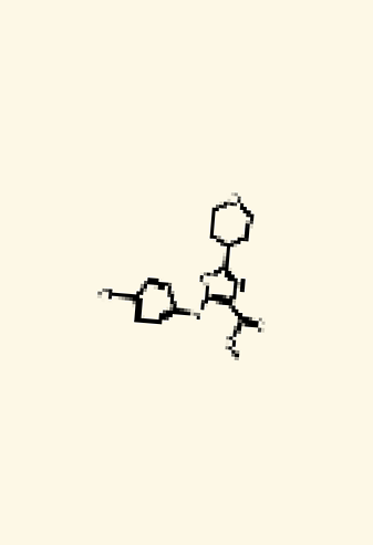 COC(=O)c1nc(C2CCOCC2)oc1Sc1ccc(Cl)cc1